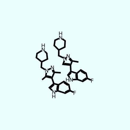 Cc1nn(CC2CCNCC2)c(C)c1-c1c[nH]c2cc(F)ccc12.Cc1nn(CC2CCNCC2)cc1-c1c[nH]c2cc(F)ccc12